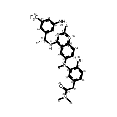 Cc1nc(N[C@H](C)c2cc(N)cc(C(F)(F)F)c2)c2cc(N(C)c3cc(CC(=O)N(C)C)ccc3O)ccc2n1